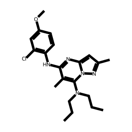 CCCN(CCC)c1c(C)c(Nc2ccc(OC)cc2Cl)nc2cc(C)nn12